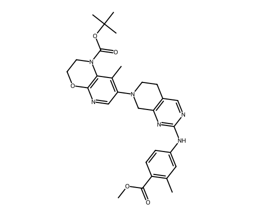 COC(=O)c1ccc(Nc2ncc3c(n2)CN(c2cnc4c(c2C)N(C(=O)OC(C)(C)C)CCO4)CC3)cc1C